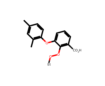 CCOOc1c(Oc2ccc(C)cc2C)cccc1C(=O)O